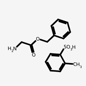 Cc1ccccc1S(=O)(=O)O.NCC(=O)OCc1ccccc1